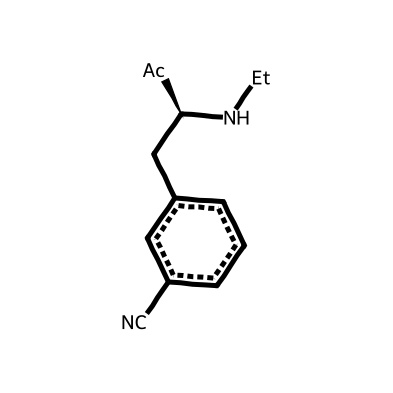 CCN[C@@H](Cc1cccc(C#N)c1)C(C)=O